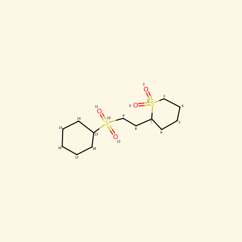 O=S1(=O)CCCCC1CCS(=O)(=O)C1CCCCC1